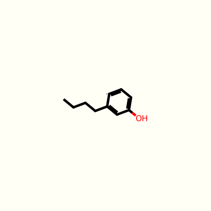 CCCCc1[c]ccc(O)c1